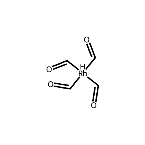 O=[CH][RhH]([CH]=O)([CH]=O)[CH]=O